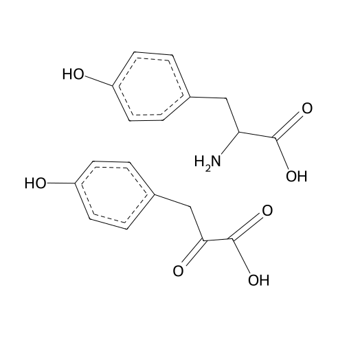 NC(Cc1ccc(O)cc1)C(=O)O.O=C(O)C(=O)Cc1ccc(O)cc1